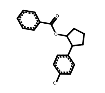 O=C(OC1CCCC1c1ccc(Cl)cc1)c1ccccc1